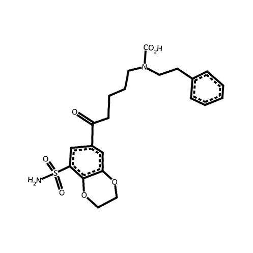 NS(=O)(=O)c1cc(C(=O)CCCCN(CCc2ccccc2)C(=O)O)cc2c1OCCO2